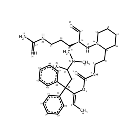 C/C=C(\OC(=O)NCCC1CCCCN1N[C@H](C=O)CCCNC(=N)N)C(CC(C)N(C)C)(c1ccccc1)c1ccccc1